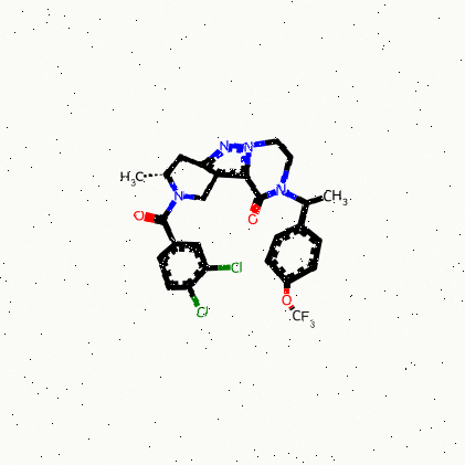 CC(c1ccc(OC(F)(F)F)cc1)N1CCn2nc3c(c2C1=O)CN(C(=O)c1ccc(Cl)c(Cl)c1)[C@H](C)C3